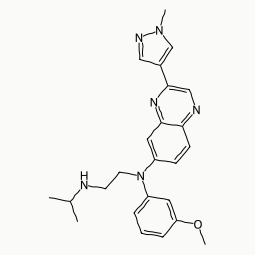 COc1cccc(N(CCNC(C)C)c2ccc3ncc(-c4cnn(C)c4)nc3c2)c1